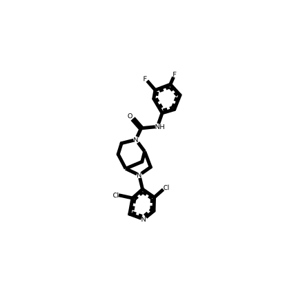 O=C(Nc1ccc(F)c(F)c1)N1CCC2CC1CN2c1c(Cl)cncc1Cl